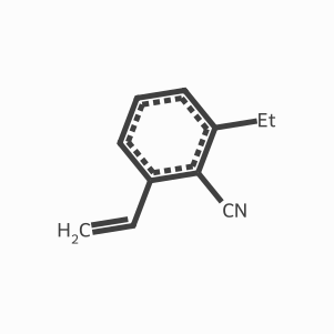 C=Cc1cccc(CC)c1C#N